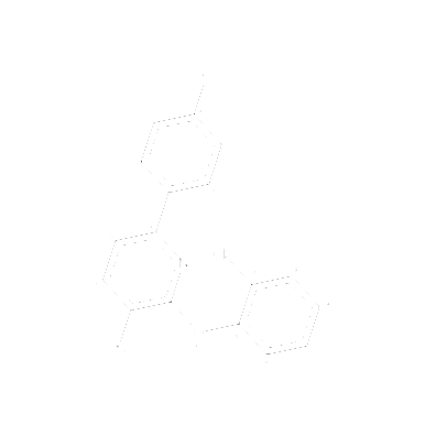 CC(=O)c1ccc(-c2ccc(Cl)cc2)nc1Oc1ccccc1Cl